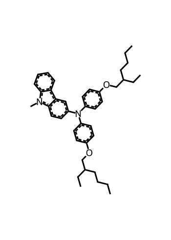 CCCCC(CC)COc1ccc(N(c2ccc(OCC(CC)CCCC)cc2)c2ccc3c(c2)c2ccccc2n3C)cc1